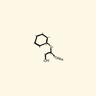 COC(CO)OC1CCCCC1